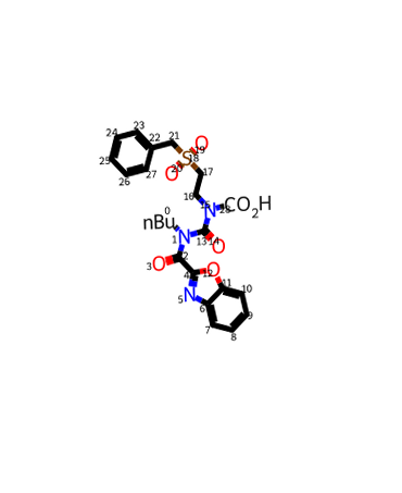 CCCCN(C(=O)c1nc2ccccc2o1)C(=O)N(CCS(=O)(=O)Cc1ccccc1)C(=O)O